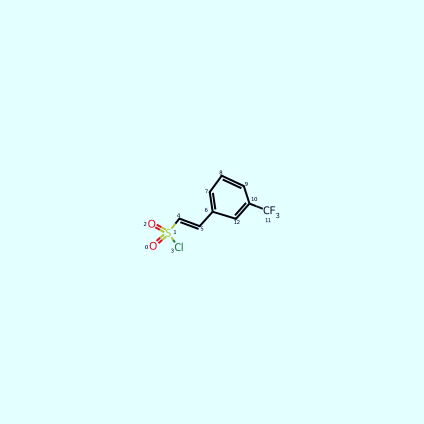 O=S(=O)(Cl)C=Cc1cccc(C(F)(F)F)c1